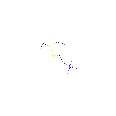 CCP(CC)SCC[N+](C)(C)C.[I-]